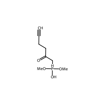 C#CCCC(=O)C[PH](O)(OC)OC